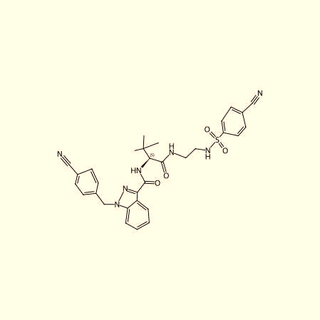 CC(C)(C)[C@H](NC(=O)c1nn(Cc2ccc(C#N)cc2)c2ccccc12)C(=O)NCCNS(=O)(=O)c1ccc(C#N)cc1